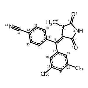 CN1C(=O)NC(=O)/C1=C(/c1ccc(C#N)cc1)c1cc(Cl)cc(Cl)c1